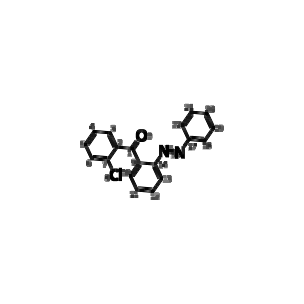 O=C(c1ccccc1Cl)c1ccccc1N=Nc1ccccc1